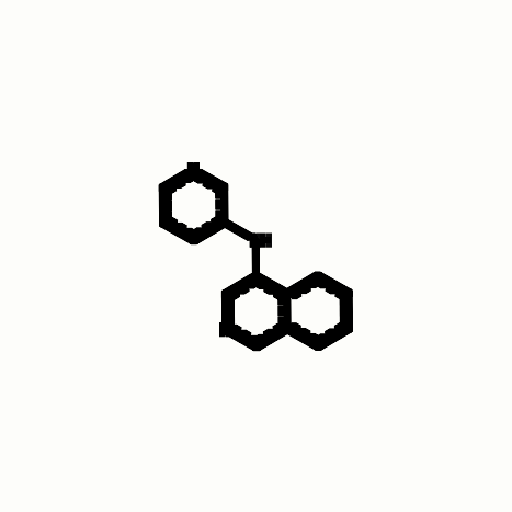 c1cncc(Nc2cncc3ccccc23)c1